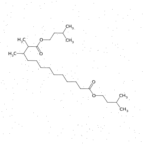 CC(C)CCOC(=O)CCCCCCCCCC(C)C(C)C(=O)OCCC(C)C